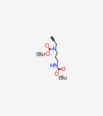 C#CCN(CCCNC(=O)OC(C)(C)C)C(=O)OC(C)(C)C